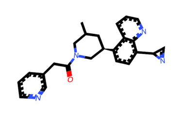 CC1C[C@@H](c2ccc(C3C=N3)c3ncccc23)CN(C(=O)Cc2cccnc2)C1